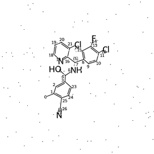 Cc1cc(C(O)N[C@@H](c2ccc(Cl)c(F)c2)c2ncccc2Cl)ccc1C#N